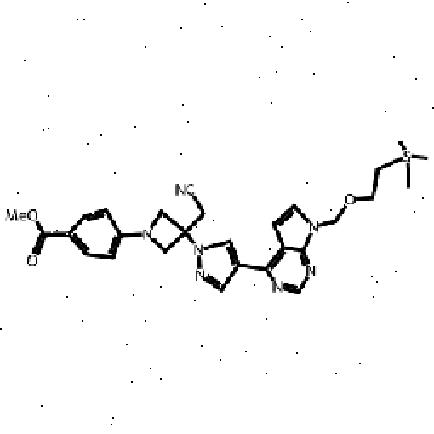 COC(=O)c1ccc(N2CC(CC#N)(n3cc(-c4ncnc5c4ccn5COCCS(C)(C)C)cn3)C2)cc1